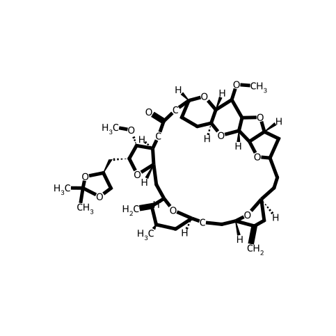 C=C1C[C@@H]2CCC3C[C@H]4OC5C(OC)[C@H]6O[C@H](CC[C@@H]6O[C@H]5C4O3)CC(=O)C[C@@H]3[C@@H](OC)[C@@H](C[C@H]4COC(C)(C)O4)O[C@H]3C[C@H]3O[C@@H](CC[C@@H]1O2)C[C@@H](C)C3=C